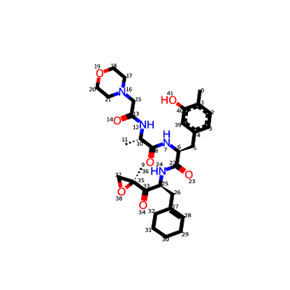 Cc1ccc(C[C@H](NC(=O)[C@H](C)NC(=O)CN2CCOCC2)C(=O)N[C@@H](CC2=CCCCC2)C(=O)[C@]2(C)CO2)cc1O